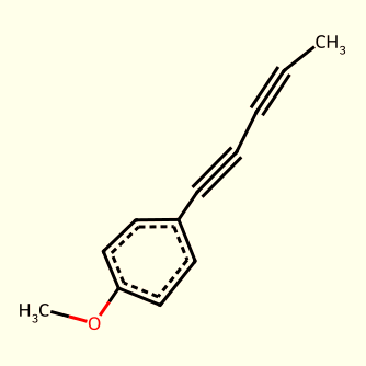 CC#CC#Cc1ccc(OC)cc1